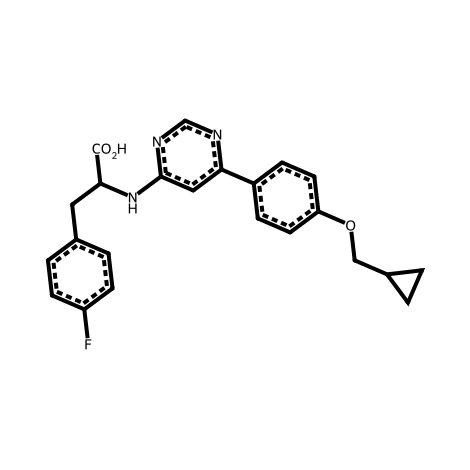 O=C(O)C(Cc1ccc(F)cc1)Nc1cc(-c2ccc(OCC3CC3)cc2)ncn1